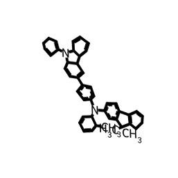 CC1C=CC=CC1N(c1ccc(C2=CC3C4C=CC=CC4N(C4=CCCC=C4)C3C=C2)cc1)c1ccc2c(c1)C(C)(C)C1=C2C=CCC1